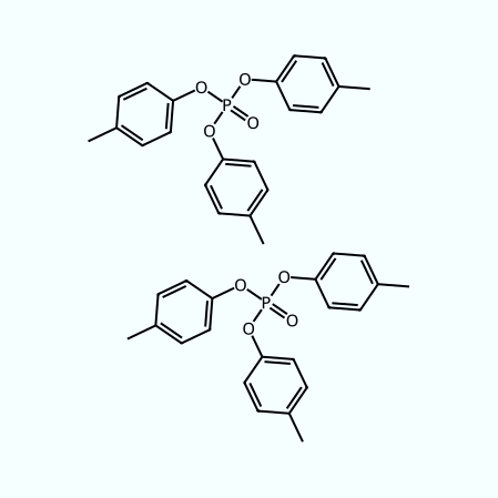 Cc1ccc(OP(=O)(Oc2ccc(C)cc2)Oc2ccc(C)cc2)cc1.Cc1ccc(OP(=O)(Oc2ccc(C)cc2)Oc2ccc(C)cc2)cc1